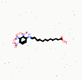 O=C(O)CCCCCCCCCCCNc1ccc([N+](=O)[O-])c([N+](=O)[O-])c1[N+](=O)[O-]